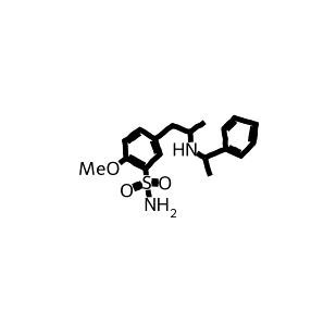 COc1ccc(CC(C)NC(C)c2ccccc2)cc1S(N)(=O)=O